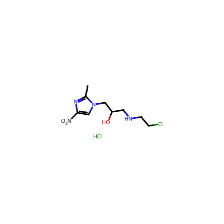 Cc1nc([N+](=O)[O-])cn1CC(O)CNCCCl.Cl